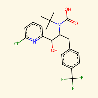 CC(C)(C)N(C(=O)O)C(Cc1ccc(C(F)(F)F)cc1)C(O)c1cccc(Cl)n1